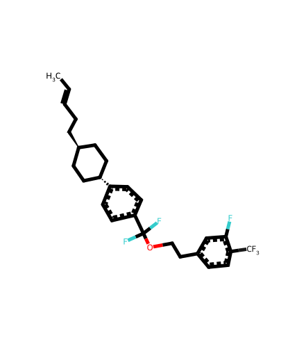 C/C=C/CC[C@H]1CC[C@H](c2ccc(C(F)(F)OCCc3ccc(C(F)(F)F)c(F)c3)cc2)CC1